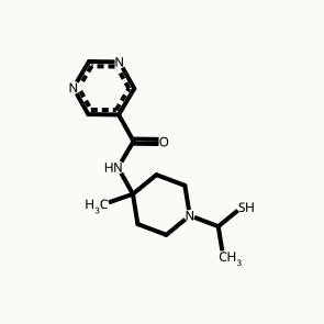 CC(S)N1CCC(C)(NC(=O)c2cncnc2)CC1